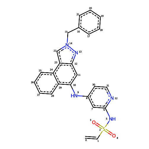 C=CS(=O)(=O)Nc1cc(Nc2cc3nn(Cc4ccccc4)cc3c3ccccc23)ccn1